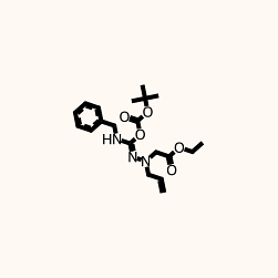 C=CCN(CC(=O)OCC)N=C(NCc1ccccc1)OC(=O)OC(C)(C)C